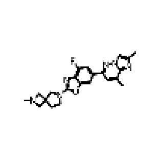 Cc1cn2nc(-c3cc(F)c4nc(N5CCC6(CN(C)C6)C5)oc4c3)cc(C)c2n1